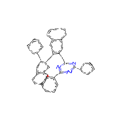 c1ccc(-c2nc(-c3ccccc3)nc(-c3cc4ccccc4cc3-c3cc4ccccc4cc3-c3ccccc3)n2)cc1